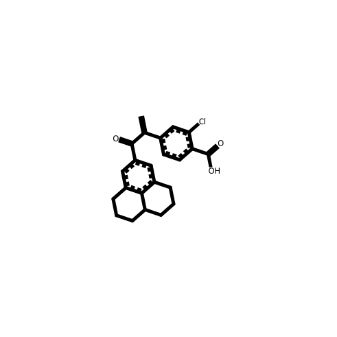 C=C(C(=O)c1cc2c3c(c1)CCCC3CCC2)c1ccc(C(=O)O)c(Cl)c1